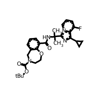 CC(C)(C)OC(=O)N1CCOc2c(cccc2C(=O)NC(C)(C)c2nc(C3CC3)c3c(F)cccn23)C1